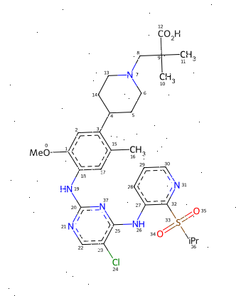 COc1cc(C2CCN(CC(C)(C)C(=O)O)CC2)c(C)cc1Nc1ncc(Cl)c(Nc2cccnc2S(=O)(=O)C(C)C)n1